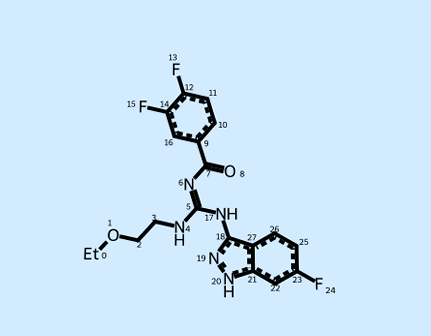 CCOCCN/C(=N/C(=O)c1ccc(F)c(F)c1)Nc1n[nH]c2cc(F)ccc12